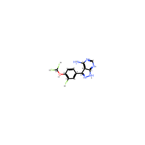 Nc1ncnc2[nH]nc(-c3ccc(OC(F)F)c(F)c3)c12